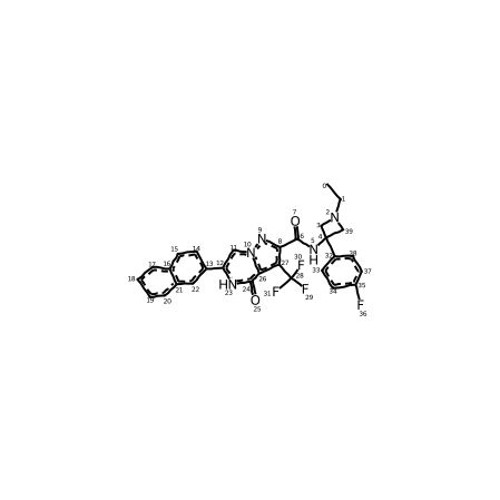 CCN1CC(NC(=O)c2nn3cc(-c4ccc5ccccc5c4)[nH]c(=O)c3c2C(F)(F)F)(c2ccc(F)cc2)C1